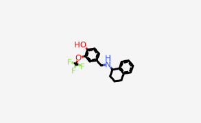 Oc1ccc(CNC2CCCc3ccccc32)cc1OC(F)(F)F